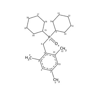 Cc1cc(C)c(CP(=O)(C2CCCCC2)C2CCCCC2)c(C)c1